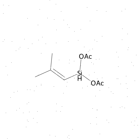 CC(=O)O[SiH](C=C(C)C)OC(C)=O